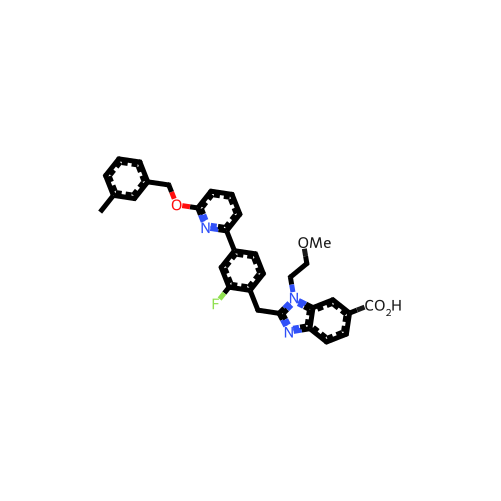 COCCn1c(Cc2ccc(-c3cccc(OCc4cccc(C)c4)n3)cc2F)nc2ccc(C(=O)O)cc21